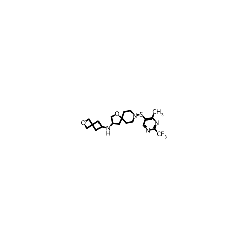 Cc1nc(C(F)(F)F)ncc1SN1CCC2(CC1)CC(NC1CC3(COC3)C1)CO2